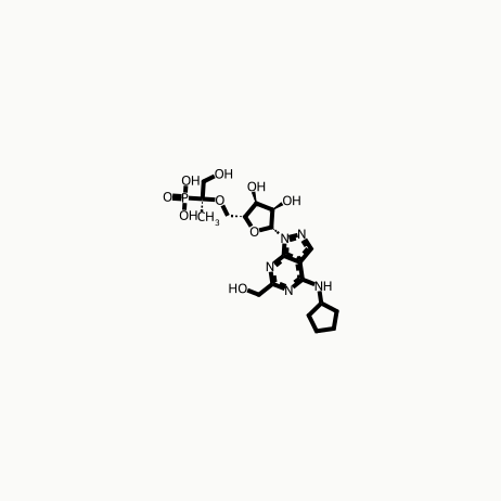 C[C@](CO)(OC[C@H]1O[C@@H](n2ncc3c(NC4CCCC4)nc(CO)nc32)[C@H](O)[C@@H]1O)P(=O)(O)O